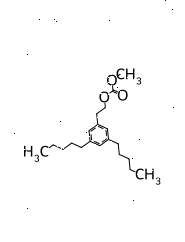 CCCCCc1cc(CCCCC)cc(CCOC(=O)OC)c1